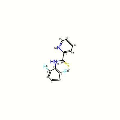 Fc1cccc(F)c1NC(=S)c1ccccn1